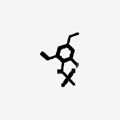 C=Cc1cc(CC)cc(F)c1NS(C)(=O)=O